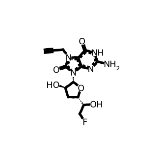 C#CCn1c(=O)n([C@@H]2O[C@H](C(O)CF)C[C@H]2O)c2nc(N)[nH]c(=O)c21